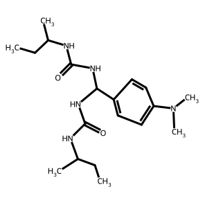 CCC(C)NC(=O)NC(NC(=O)NC(C)CC)c1ccc(N(C)C)cc1